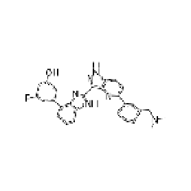 CN(C)Cc1cccc(-c2ccc3[nH]nc(-c4nc5c(-c6cc(O)cc(F)c6)cccc5[nH]4)c3n2)c1